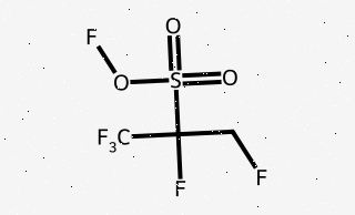 O=S(=O)(OF)C(F)(CF)C(F)(F)F